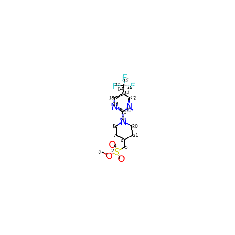 COS(=O)(=O)CC1CCN(c2ncc(C(F)(F)F)cn2)CC1